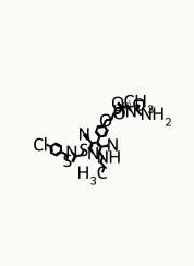 CCCNc1nc(SCc2csc(-c3ccc(Cl)cc3)n2)c(C#N)c(-c2ccc(OCCOC(=O)[C@H](C)NC(=O)CN)cc2)c1C#N